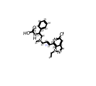 CCn1ncc2cc(Cl)nc(/C=C/CN(C)CC(NC(=O)O)c3ccccc3)c21